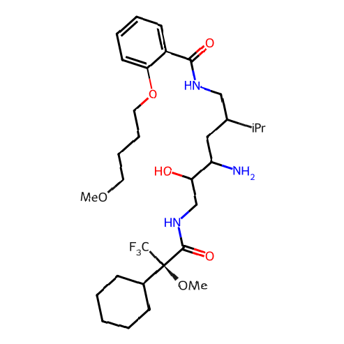 COCCCCOc1ccccc1C(=O)NCC(CC(N)C(O)CNC(=O)[C@](OC)(C1CCCCC1)C(F)(F)F)C(C)C